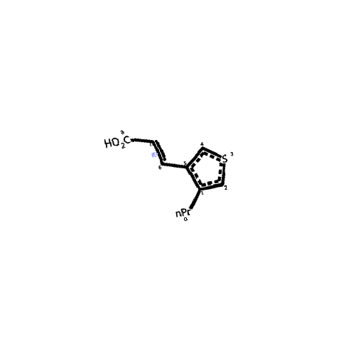 CCCc1cscc1/C=C/C(=O)O